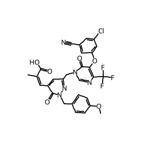 COc1ccc(Cn2nc(Cn3cnc(C(F)(F)F)c(Oc4cc(Cl)cc(C#N)c4)c3=O)cc(C=C(C)C(=O)O)c2=O)cc1